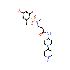 COc1cc(C)c(S(=O)(=O)N(C)CCC(=O)NC2CCN(C3CCNCC3)CC2)c(C)c1